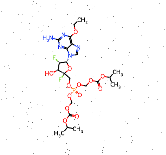 CCOc1nc(N)nc2c1ncn2[C@@H]1O[C@](F)(COP(=O)(OCOC(=O)OC(C)C)OCOC(=O)OC(C)C)[C@@H](O)[C@H]1F